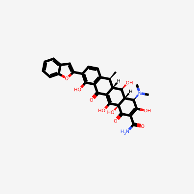 C[C@@H]1c2ccc(-c3cc4ccccc4o3)c(O)c2C(=O)C2=C(O)[C@@]3(O)C(=O)C(C(N)=O)=C(O)[C@H](N(C)C)[C@H]3[C@H](O)[C@H]21